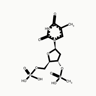 Cc1cn([C@H]2C[C@H](OP(C)(=O)O)[C@@H](COP(=O)(O)O)O2)c(=O)[nH]c1=O